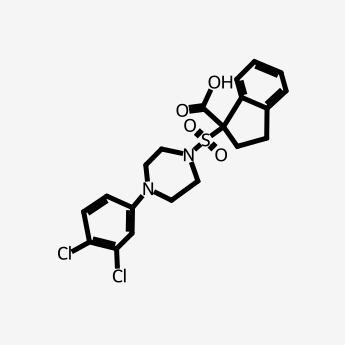 O=C(O)C1(S(=O)(=O)N2CCN(c3ccc(Cl)c(Cl)c3)CC2)CCc2ccccc21